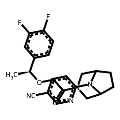 C[C@H](OCC(=O)N1CC2CCC(C1)N2c1ccc(C#N)cn1)c1ccc(F)c(F)c1